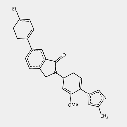 CCC1=CC=C(c2ccc3c(c2)C(=O)N(C2C=C(OC)C(n4cnc(C)c4)=CC2)C3)CC1